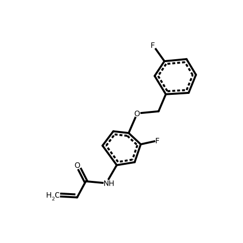 C=CC(=O)Nc1ccc(OCc2cccc(F)c2)c(F)c1